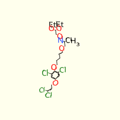 CCOC(CON=C(C)COCCCCCOc1c(Cl)cc(OCC=C(Cl)Cl)cc1Cl)OCC